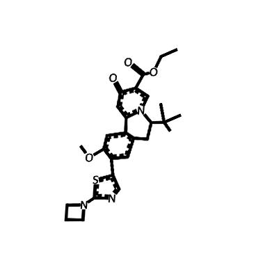 CCOC(=O)c1cn2c(cc1=O)-c1cc(OC)c(-c3cnc(N4CCC4)s3)cc1CC2C(C)(C)C